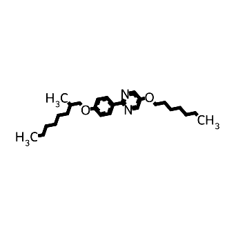 CCCCCCCOc1cnc(-c2ccc(OCC(C)CCCCCC)cc2)nc1